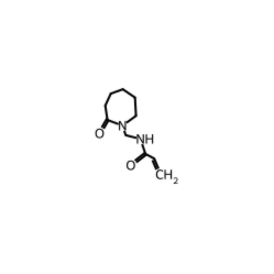 C=CC(=O)NCN1CCCCCC1=O